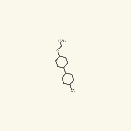 CCCCCCCCCCCOC1CCC(C2CCC(C#N)CC2)CC1